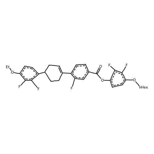 CCCCCCOc1ccc(OC(=O)c2ccc(C3=CCC(c4ccc(OCC)c(F)c4F)CC3)c(F)c2)c(F)c1F